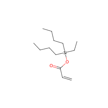 C=CC(=O)O[Si](CC)(CCCC)CCCC